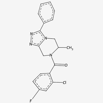 CC1Cn2c(nnc2-c2ccccc2)CN1C(=O)c1ccc(F)cc1Cl